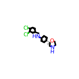 Clc1ccc(CNc2ccc([C@H]3CNCCO3)cc2)cc1Cl